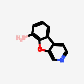 Bc1cccc2c1oc1cnccc12